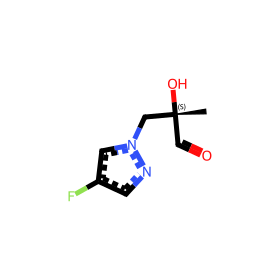 C[C@@](O)(C=O)Cn1cc(F)cn1